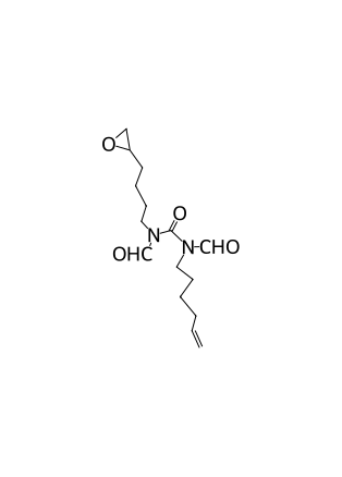 C=CCCCCN(C=O)C(=O)N(C=O)CCCCC1CO1